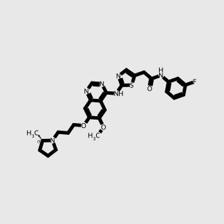 COc1cc2c(Nc3ncc(CC(=O)Nc4cccc(F)c4)s3)ncnc2cc1OCCCN1CCC[C@@H]1C